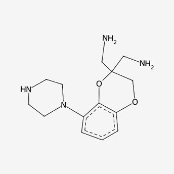 NCC1(CN)COc2cccc(N3CCNCC3)c2O1